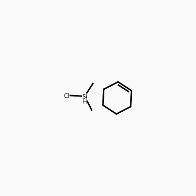 C1=CCCCC1.C[SiH](C)Cl